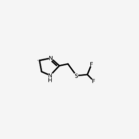 FC(F)SCC1=N[CH]CN1